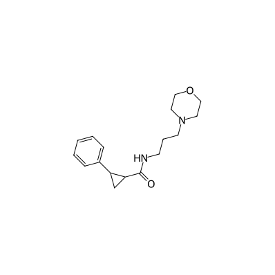 O=C(NCCCN1CCOCC1)C1CC1c1ccccc1